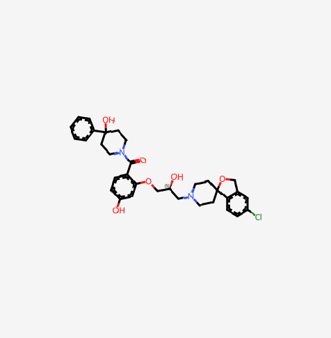 O=C(c1ccc(O)cc1OC[C@@H](O)CN1CCC2(CC1)OCc1cc(Cl)ccc12)N1CCC(O)(c2ccccc2)CC1